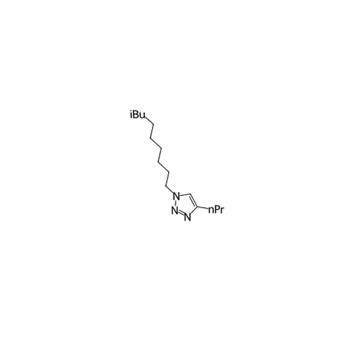 CCCc1cn(CCCCCCC(C)CC)nn1